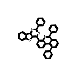 c1ccc(-c2nc(-c3cccc4c3nc(-c3ccccc3)c3cccc(-c5ccccc5)c34)c3sc4ccccc4c3n2)cc1